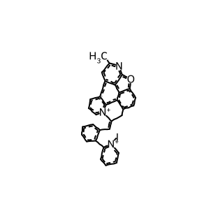 Cc1cc2c3ccc[n+]4c3c3c(ccc5oc(n1)c2c53)C/C4=C/c1ccccc1-c1cccc[n+]1I